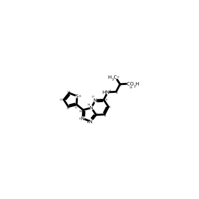 CC(CNc1ccc2nnc(-c3cccs3)n2n1)C(=O)O